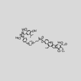 CCc1c2c(nc3ccc(OC(=O)N(C)CCCN4CCN(Cc5ccc(-n6c(O)nnc6-c6cc(C(C)C)c(O)cc6O)cc5)CC4)cc13)-c1cc(C(O)C=O)c(COC)c(=O)n1C2